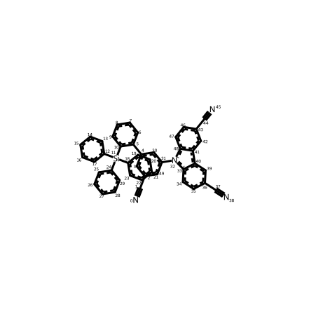 N#Cc1cc(-c2ccccc2[Si](c2ccccc2)(c2ccccc2)c2ccccc2)cc(-n2c3ccc(C#N)cc3c3cc(C#N)ccc32)c1